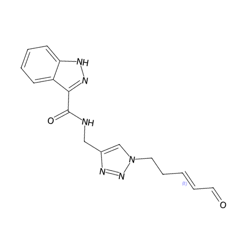 O=C/C=C/CCn1cc(CNC(=O)c2n[nH]c3ccccc23)nn1